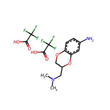 CN(C)CC1COc2ccc(N)cc2O1.O=C(O)C(F)(F)F.O=C(O)C(F)(F)F